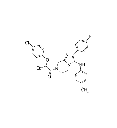 CCC(Oc1ccc(Cl)cc1)C(=O)N1CCn2c(nc(-c3ccc(F)cc3)c2Nc2ccc(C)cc2)C1